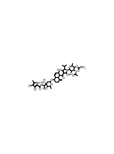 C=C1CCC(OC2CC(O)(C(C)NC(=O)c3[nH]c(C)c(Cl)c3Cl)C(O)C(C)O2)C2C=CC(C)C(C(=O)C3=C(O)C(C(C)C)N(C4OC(C)C(OC(N)=O)C(OC(C)=O)C4OC)C3=O)C12